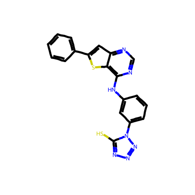 Sc1nnnn1-c1cccc(Nc2ncnc3cc(-c4ccccc4)sc23)c1